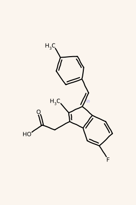 CC1=C(CC(=O)O)c2cc(F)ccc2/C1=C/c1ccc(C)cc1